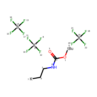 CC(C)(C)OC(=O)NC[CH2][K].F[B-](F)(F)F.F[B-](F)(F)F.F[B-](F)(F)F